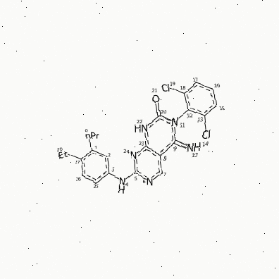 CCCc1cc(Nc2ncc3c(=N)n(-c4c(Cl)cccc4Cl)c(=O)[nH]c3n2)ccc1CC